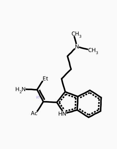 CC/C(N)=C(/C(C)=O)c1[nH]c2ccccc2c1CCCN(C)C